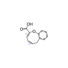 O=C(O)/C1=C/C=C\Cc2ccccc2O1